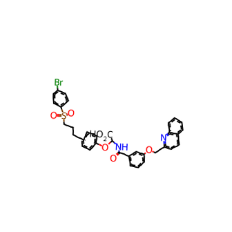 O=C(NC(Oc1ccc(CCCS(=O)(=O)c2ccc(Br)cc2)cc1)C(=O)O)c1cccc(OCc2ccc3ccccc3n2)c1